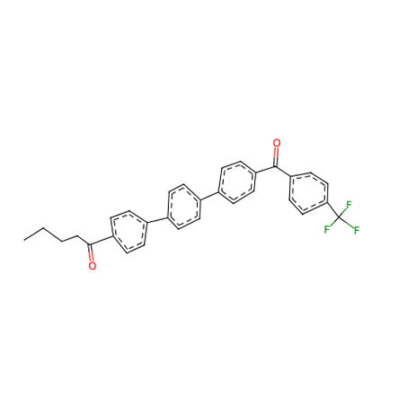 CCCCC(=O)c1ccc(-c2ccc(-c3ccc(C(=O)c4ccc(C(F)(F)F)cc4)cc3)cc2)cc1